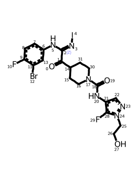 O=C(/C(=N/I)Nc1ccc(F)c(Br)c1)C1CCN(C(=O)Nc2cnn(CCO)c2F)CC1